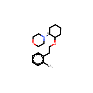 FC(F)(F)c1ccccc1CCOC1CCCC[C@H]1N1CCOCC1